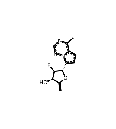 C=C1O[C@@H](c2ccc3c(C)ncnn23)[C@H](F)[C@@H]1O